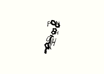 C#Cc1ccc(NC(=O)C(C)(C)[C@@H]2CC3C[C@H](c4ccnc5ccc(F)cc45)C[C@@H]3C2)nc1